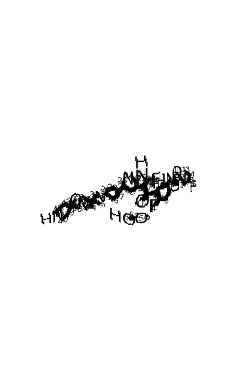 O=C(c1c(F)ccc(NS(=O)(=O)N2CC[C@@H](F)C2)c1F)c1c[nH]c2ncc(-c3ccc(N4CC5(CN(CC6(O)CCNCC6)C5)C4)cc3)cc12.O=CO